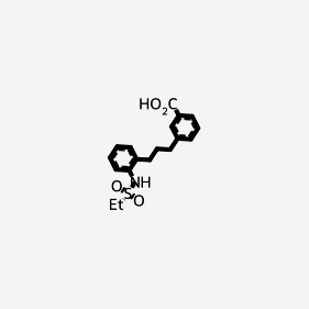 CCS(=O)(=O)Nc1ccccc1CCCc1cccc(C(=O)O)c1